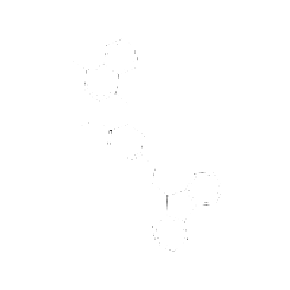 COC(=O)[C@H](Cc1ccc(Cl)c2ccccc12)NC(=O)OCC1c2ccccc2-c2ccccc21